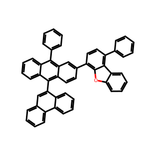 c1ccc(-c2c3ccccc3c(-c3cc4ccccc4c4ccccc34)c3ccc(-c4ccc(-c5ccccc5)c5c4oc4ccccc45)cc23)cc1